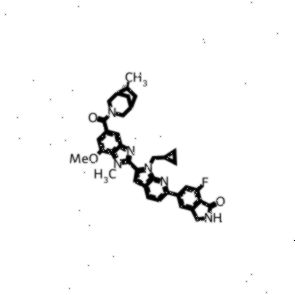 COc1cc(C(=O)N2CC3CC(C2)[C@@H](C)C3)cc2nc(-c3cc4ccc(-c5cc(F)c6c(c5)CNC6=O)nc4n3CC3CC3)n(C)c12